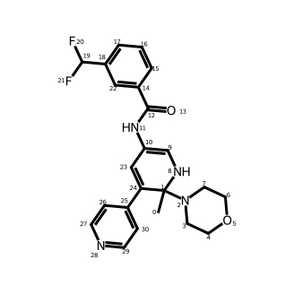 CC1(N2CCOCC2)NC=C(NC(=O)c2cccc(C(F)F)c2)C=C1c1ccncc1